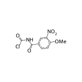 COc1ccc(C(=O)NC(=O)Cl)cc1[N+](=O)[O-]